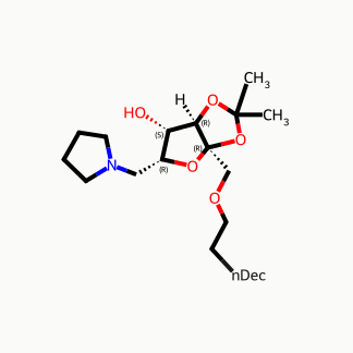 CCCCCCCCCCCCOC[C@]12O[C@H](CN3CCCC3)[C@H](O)[C@H]1OC(C)(C)O2